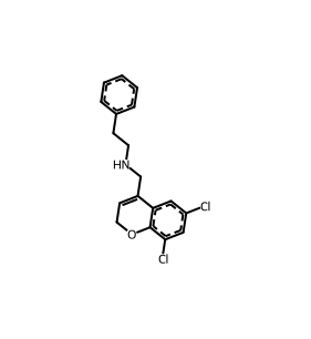 Clc1cc(Cl)c2c(c1)C(CNCCc1ccccc1)=CCO2